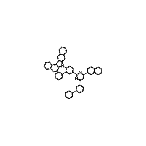 c1ccc(-c2cccc(-c3cc(-c4ccc5ccccc5c4)nc(-c4ccc(-n5c6cc7ccccc7cc6c6c7ccccc7ccc65)c(-c5ccccc5)c4)n3)c2)cc1